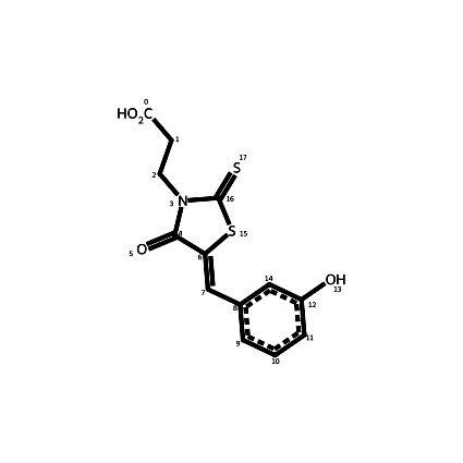 O=C(O)CCN1C(=O)C(=Cc2cccc(O)c2)SC1=S